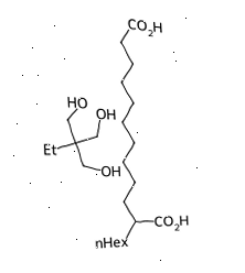 CCC(CO)(CO)CO.CCCCCCC(CCCCCCCCCC(=O)O)C(=O)O